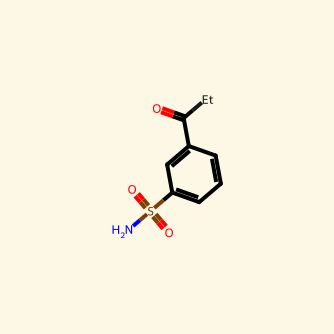 CCC(=O)c1cccc(S(N)(=O)=O)c1